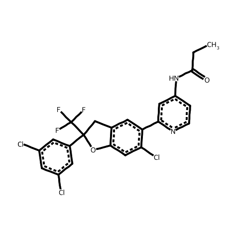 CCC(=O)Nc1ccnc(-c2cc3c(cc2Cl)OC(c2cc(Cl)cc(Cl)c2)(C(F)(F)F)C3)c1